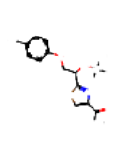 CCCCCCCCc1ccc(OCC(O[Si](C)(C)C(C)(C)C)C2=NC(C(=O)OC)CS2)cc1